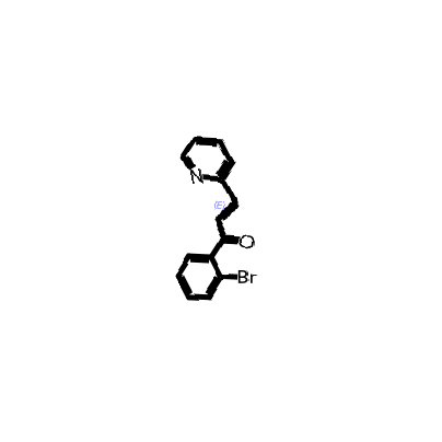 O=C(/C=C/c1ccccn1)c1ccccc1Br